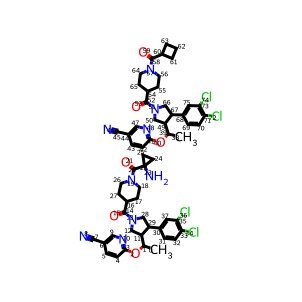 CC(Oc1ccc(C#N)cn1)C1CN(C(=O)C2CCN(C(=O)C3(N)CC3)CC2)CC1c1ccc(Cl)c(Cl)c1.CC(Oc1ccc(C#N)cn1)C1CN(C(=O)C2CCN(C(=O)C3CCC3)CC2)CC1c1ccc(Cl)c(Cl)c1